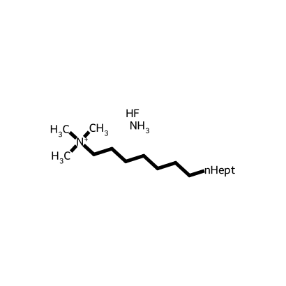 CCCCCCCCCCCCCC[N+](C)(C)C.F.N